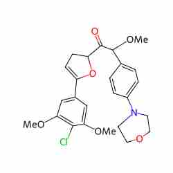 COc1cc(C2=CCC(C(=O)C(OC)c3ccc(N4CCOCC4)cc3)O2)cc(OC)c1Cl